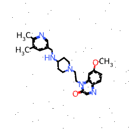 COc1ccc2ncc(=O)n(CCN3CCC(NCc4cnc(C)c(C)c4)CC3)c2c1